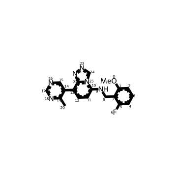 COc1cccc(F)c1CNc1ccc(-c2cncnc2C)c2nncn12